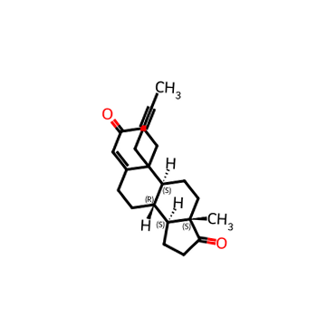 CC#CCC12CCC(=O)C=C1CC[C@@H]1[C@@H]2CC[C@]2(C)C(=O)CC[C@@H]12